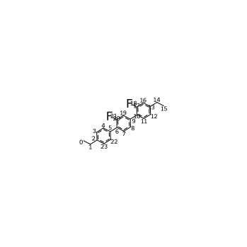 CCc1ccc(-c2ccc(-c3ccc(CC)cc3F)cc2F)cc1